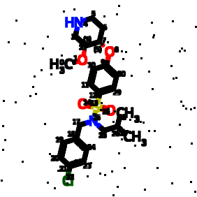 CO[C@H]1CNCC[C@@H]1Oc1ccc(S(=O)(=O)N(Cc2ccc(Cl)cc2)CC(C)C)cc1